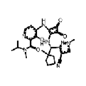 CC(C)N(C)C(=O)c1nccc(Nc2c(N[C@@H](c3nn(C)cc3C#N)C3(C)CCCC3)c(=O)c2=O)c1O